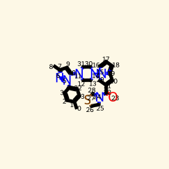 Cc1ccc(-n2nc(C)cc2N2CCN([N@@+]34C=CC=C3C=C(C(=O)N3CCSC3)C4)CC2)cc1